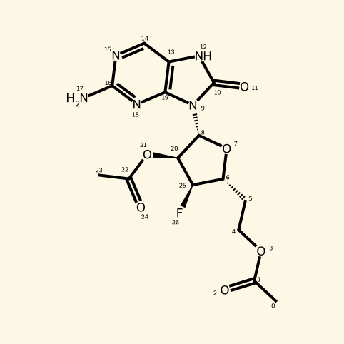 CC(=O)OCC[C@H]1O[C@@H](n2c(=O)[nH]c3cnc(N)nc32)[C@H](OC(C)=O)[C@@H]1F